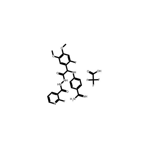 COc1cc(F)c(C(Nc2ccc(C(=N)N)cc2)C(=O)NNC(=O)c2cccnc2F)cc1OC.O=C(O)C(F)(F)F